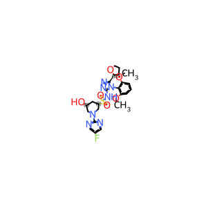 COc1cccc(OC)c1-n1c(NS(=O)(=O)[C@@H]2C[C@@H](O)CN(c3ncc(F)cn3)C2)nnc1[C@@H]1CCCO1